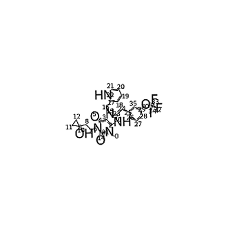 Cn1c2c(c(=O)n(CCC3(O)CC3)c1=O)N(CC1C=CC=CN1)C(Cc1cccc(OC(F)(F)I)c1)N2